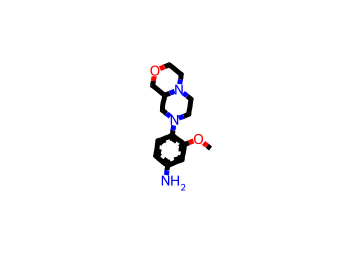 COc1cc(N)ccc1N1CCN2CCOCC2C1